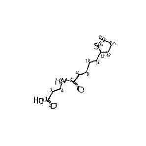 O=C(O)CCNC(=O)CCCCC1CCSS1